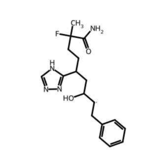 CC(F)(CCC(CC(O)[CH]Cc1ccccc1)c1nnc[nH]1)C(N)=O